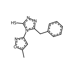 Cc1cc(-n2c(S)nnc2Cc2ccccc2)no1